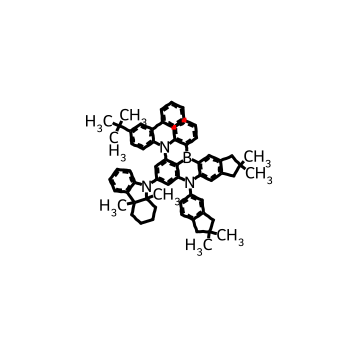 CC1(C)Cc2ccc(N3c4cc5c(cc4B4c6ccccc6N(c6ccc(C(C)(C)C)cc6-c6ccccc6)c6cc(N7c8ccccc8C8(C)CCCCC78C)cc3c64)CC(C)(C)C5)cc2C1